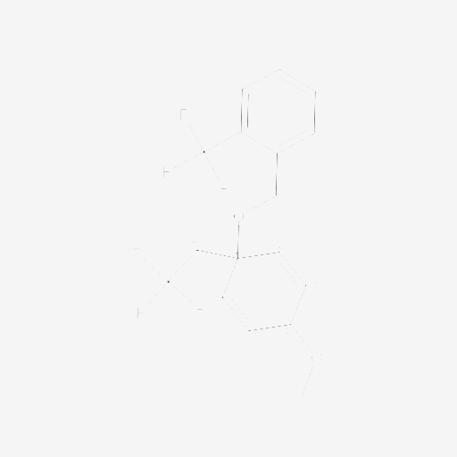 COC1[C]=CC(CC(F)(F)F)(OCc2ccccc2C(F)(F)F)C=C1